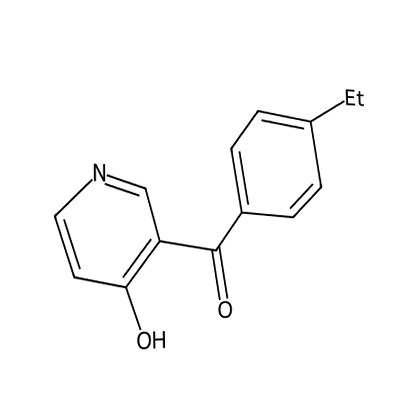 CCc1ccc(C(=O)c2cnccc2O)cc1